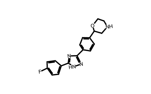 Fc1ccc(-c2nc(-c3ccc(C4CNCCO4)cc3)n[nH]2)cc1